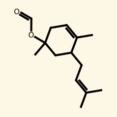 CC(C)=CCC1CC(C)(OC=O)CC=C1C